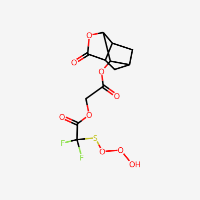 O=C(COC(=O)C(F)(F)SOOO)OC1C2CC3C(=O)OC1C3C2